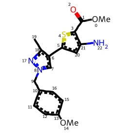 COC(=O)c1sc(-c2cn(Cc3ccc(OC)cc3)nc2C)cc1N